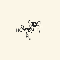 Cc1nn(C)c(Oc2cc(O)c(Cl)cc2Cl)c1/C=C/C(=O)O